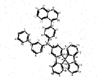 c1ccc(-c2cccc(N(c3ccc(-c4cccc5ccccc45)cc3)c3ccc4c(c3)-c3ccccc3C43c4ccccc4-c4ccccc43)c2)cc1